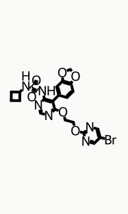 O=S(=O)(Nc1ncnc(OCCOc2ncc(Br)cn2)c1-c1ccc2c(c1)OCO2)NC1CCC1